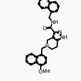 COc1ccc(CN2CCc3[nH]nc(C(=O)NCc4cccc5ccccc45)c3C2)c2ccccc12